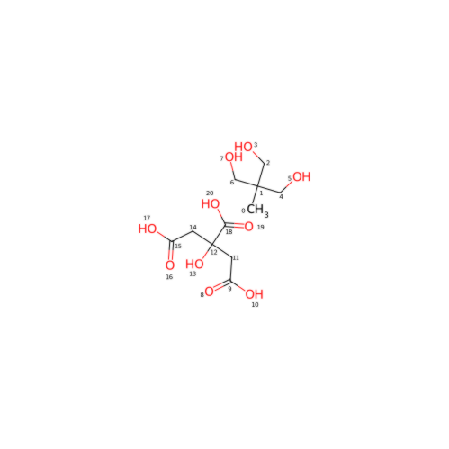 CC(CO)(CO)CO.O=C(O)CC(O)(CC(=O)O)C(=O)O